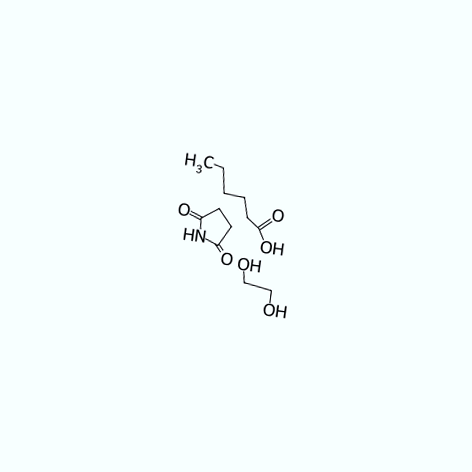 CCCCCC(=O)O.O=C1CCC(=O)N1.OCCO